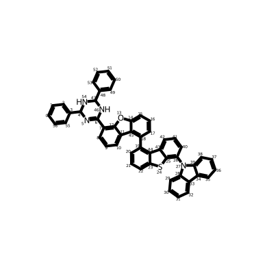 c1ccc(C2N=C(c3cccc4c3oc3cccc(-c5cccc6sc7c(-n8c9ccccc9c9ccccc98)cccc7c56)c34)NC(c3ccccc3)N2)cc1